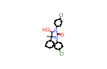 C[C@@]1(c2ccccc2)C(O)N(c2ccc(Cl)cc2)C(=O)N1c1ccc(Cl)cc1